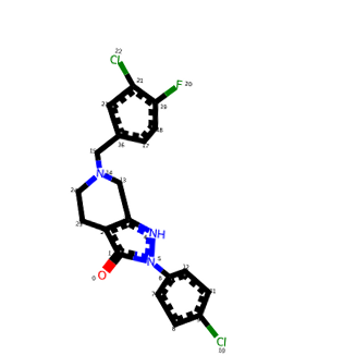 O=c1c2c([nH]n1-c1ccc(Cl)cc1)CN(Cc1ccc(F)c(Cl)c1)CC2